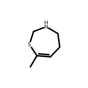 CC1=CCCNCS1